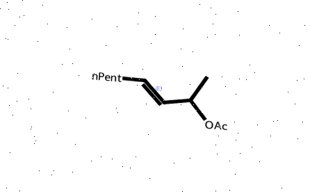 CCCCC/C=C/C(C)OC(C)=O